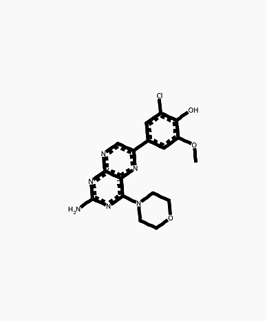 COc1cc(-c2cnc3nc(N)nc(N4CCOCC4)c3n2)cc(Cl)c1O